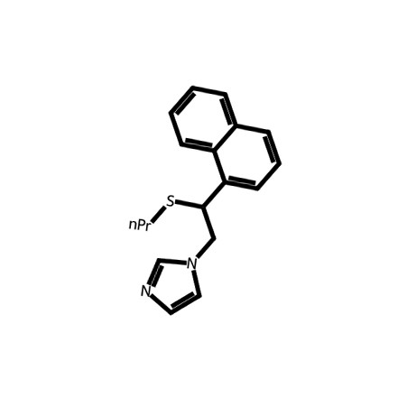 CCCSC(Cn1ccnc1)c1cccc2ccccc12